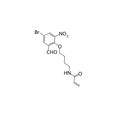 C=CC(=O)NCCCCOc1c(C=O)cc(Br)cc1[N+](=O)[O-]